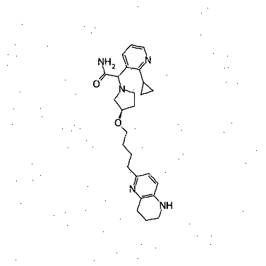 NC(=O)C(c1cccnc1C1CC1)N1CC[C@@H](OCCCCc2ccc3c(n2)CCCN3)C1